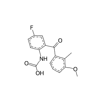 COc1cccc(C(=O)c2cc(F)ccc2NC(=O)O)c1C